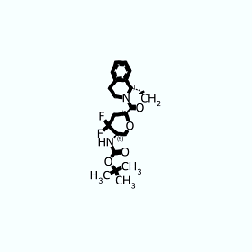 C=C[C@H]1c2ccccc2CCN1C(=O)[C@@H]1CC(F)(F)[C@@H](NC(=O)OC(C)(C)C)CO1